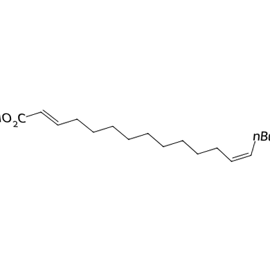 CCCC/C=C\CCCCCCCCC/C=C/C(=O)O